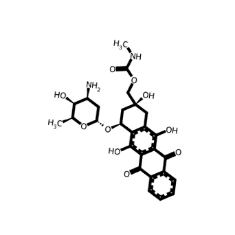 CNC(=O)OC[C@]1(O)Cc2c(O)c3c(c(O)c2[C@@H](O[C@H]2C[C@H](N)[C@H](O)[C@H](C)O2)C1)C(=O)c1ccccc1C3=O